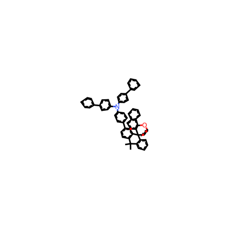 CC1(C)c2ccccc2C2(c3ccccc3Oc3c2ccc2ccccc32)c2cc(-c3ccc(N(c4ccc(-c5ccccc5)cc4)c4ccc(-c5ccccc5)cc4)cc3)ccc21